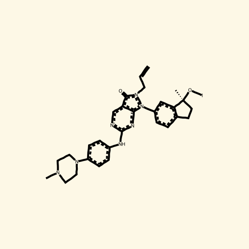 C=CCn1c(=O)c2cnc(Nc3ccc(N4CCN(C)CC4)cc3)nc2n1-c1ccc2c(c1)[C@@](C)(OI)CC2